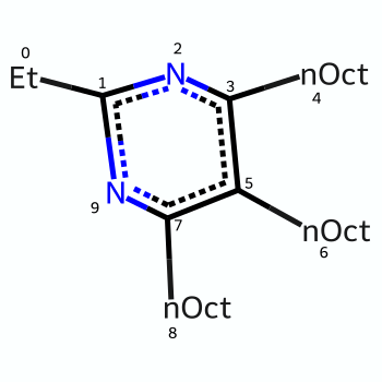 [CH2]Cc1nc(CCCCCCCC)c(CCCCCCCC)c(CCCCCCCC)n1